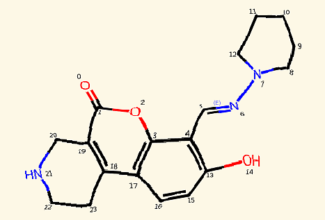 O=c1oc2c(/C=N/N3CCCCC3)c(O)ccc2c2c1CNCC2